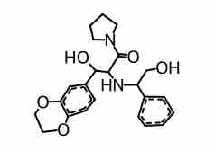 O=C(C(NC(CO)c1ccccc1)C(O)c1ccc2c(c1)OCCO2)N1CCCC1